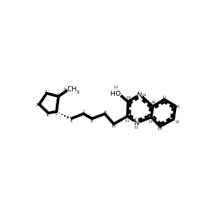 CC1CCC[C@H]1CCCCCc1nc2ccccc2nc1O